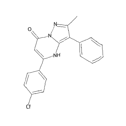 Cc1nn2c(=O)cc(-c3ccc(Cl)cc3)[nH]c2c1-c1ccccc1